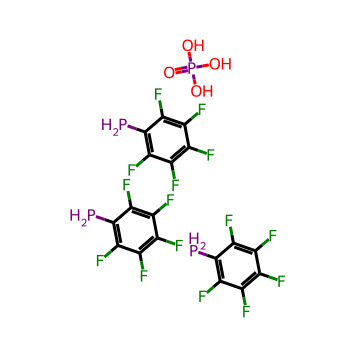 Fc1c(F)c(F)c(P)c(F)c1F.Fc1c(F)c(F)c(P)c(F)c1F.Fc1c(F)c(F)c(P)c(F)c1F.O=P(O)(O)O